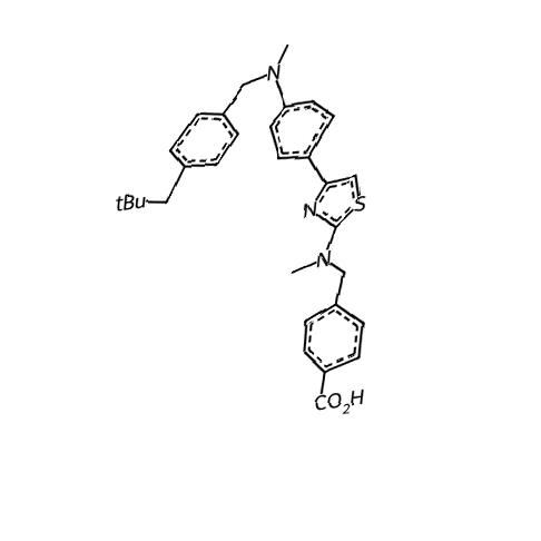 CN(Cc1ccc(CC(C)(C)C)cc1)c1ccc(-c2csc(N(C)Cc3ccc(C(=O)O)cc3)n2)cc1